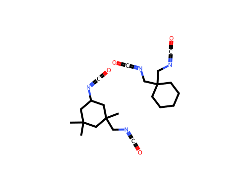 CC1(C)CC(N=C=O)CC(C)(CN=C=O)C1.O=C=NCC1(CN=C=O)CCCCC1